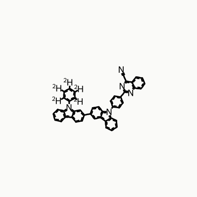 [2H]c1c([2H])c([2H])c(-n2c3ccccc3c3ccc(-c4ccc5c(c4)c4ccccc4n5-c4ccc(-c5nc(C#N)c6ccccc6n5)cc4)cc32)c([2H])c1[2H]